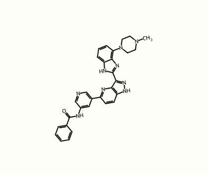 CN1CCN(c2cccc3[nH]c(-c4n[nH]c5ccc(-c6cncc(NC(=O)c7ccccc7)c6)nc45)nc23)CC1